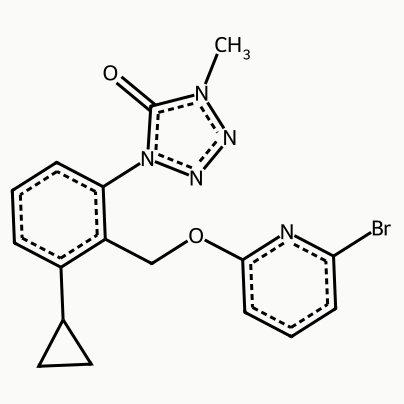 Cn1nnn(-c2cccc(C3CC3)c2COc2cccc(Br)n2)c1=O